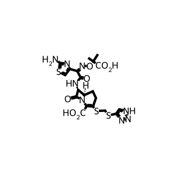 CC(C)(O/N=C(\C(=O)N[C@@H]1C(=O)N2C(C(=O)O)=C(SCSc3c[nH]nn3)CC[C@H]12)c1csc(N)n1)C(=O)O